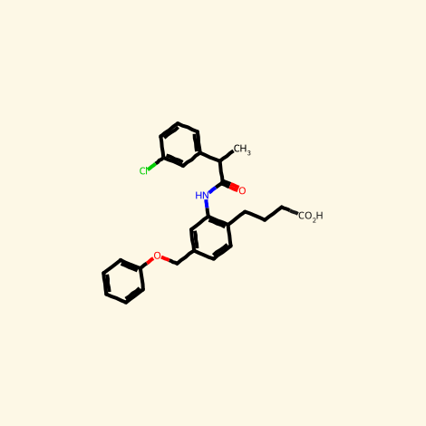 CC(C(=O)Nc1cc(COc2ccccc2)ccc1CCCC(=O)O)c1cccc(Cl)c1